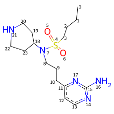 CCCCS(=O)(=O)N(CCCc1ccnc(N)n1)C1CCNCC1